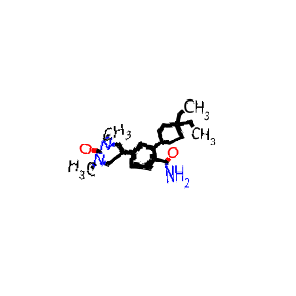 CCC1(CC)CC=C(c2cc(C3CN(C)C(=O)N(C)C3)ccc2C(N)=O)CC1